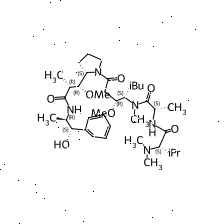 CCC(C)[C@@H]([C@@H](CC(=O)N1CCC[C@H]1[C@H](OC)[C@@H](C)C(=O)N[C@H](C)[C@@H](O)c1ccccc1)OC)N(C)C(=O)[C@H](C)NC(=O)[C@H](C(C)C)N(C)C